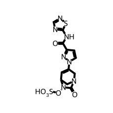 O=C(Nc1ncns1)c1ccn(C2=CC3CN(C2)C(=O)N3OS(=O)(=O)O)n1